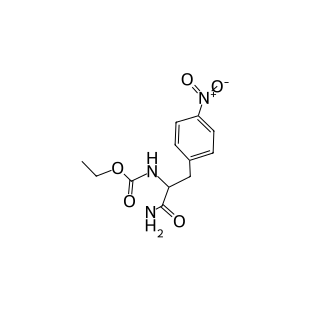 CCOC(=O)NC(Cc1ccc([N+](=O)[O-])cc1)C(N)=O